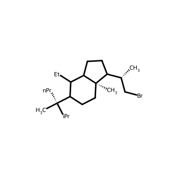 CCC[C@@](C)(C(C)C)C1CC[C@@]2(C)C(CCC2[C@H](C)CBr)C1CC